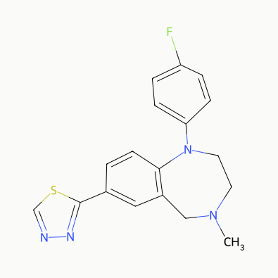 CN1CCN(c2ccc(F)cc2)c2ccc(-c3nncs3)cc2C1